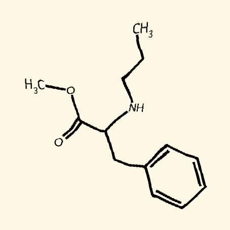 CCCNC(Cc1ccccc1)C(=O)OC